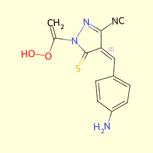 [C-]#[N+]C1=NN(C(=C)OO)C(=S)/C1=C\c1ccc(N)cc1